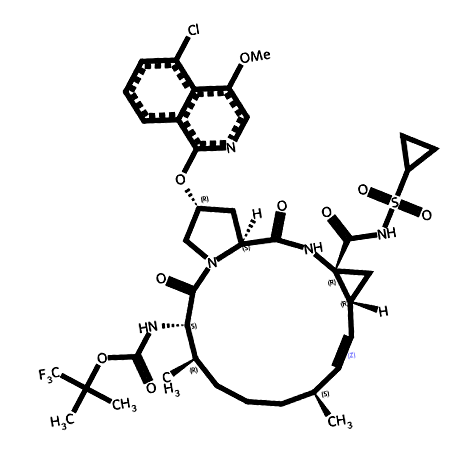 COc1cnc(O[C@@H]2C[C@H]3C(=O)N[C@]4(C(=O)NS(=O)(=O)C5CC5)C[C@@H]4/C=C\[C@@H](C)CCC[C@@H](C)[C@H](NC(=O)OC(C)(C)C(F)(F)F)C(=O)N3C2)c2cccc(Cl)c12